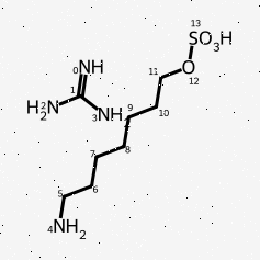 N=C(N)N.NCCCCCCCOS(=O)(=O)O